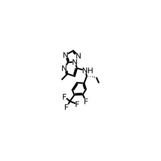 CC[C@@H](Nc1cc(C)nc2ncnn12)c1ccc(C(F)(F)F)c(F)c1